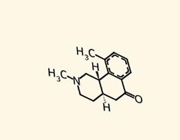 Cc1cccc2c1[C@H]1CN(C)CC[C@@H]1CC2=O